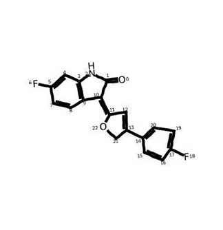 O=C1Nc2cc(F)ccc2C1=C1C=C(c2ccc(F)cc2)CO1